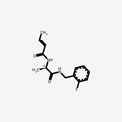 CC=CC(=O)N[C@H](C)C(=O)NCc1ccccc1F